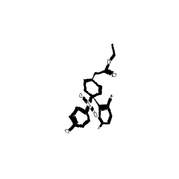 CCOC(=O)C[C@H]1CC[C@](c2cc(F)ccc2F)(S(=O)(=O)c2ccc(Cl)cc2)CC1